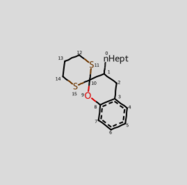 CCCCCCCC1Cc2ccccc2OC12SCCCS2